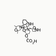 CC1CN(OC(=O)C(C=N)(c2ccccc2)[N+]2(CC3CCNO3)CCC(OCC(=O)O)CC2)CC(C)O1